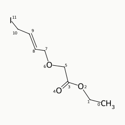 CCOC(=O)COCC=CCI